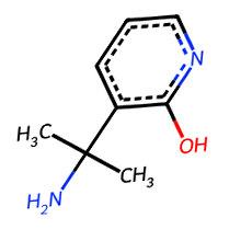 CC(C)(N)c1cccnc1O